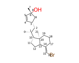 C[C@H](C[C@@H]1C=C[C@](C)(O)C1)[C@H]1CCC2C(=CBr)CCC[C@@]21C